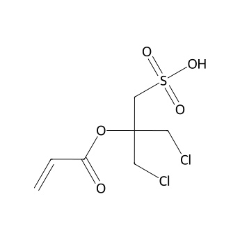 C=CC(=O)OC(CCl)(CCl)CS(=O)(=O)O